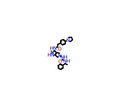 CC(NC(=O)NN1Cc2[nH]nc(NC(=O)Cc3ccc(N4CCCC4)cc3)c2C1)c1ccccc1